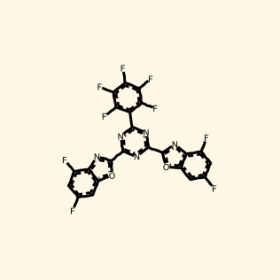 Fc1cc(F)c2nc(-c3nc(-c4nc5c(F)cc(F)cc5o4)nc(-c4c(F)c(F)c(F)c(F)c4F)n3)oc2c1